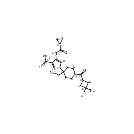 N#CCC1(n2cc(C(N)=O)c(NC(=O)C3CC3)n2)CCN(C(=O)C2CC(F)(F)C2)CC1